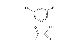 CC(=O)C(=O)O.Fc1cccc(Cl)c1